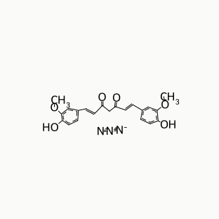 COc1cc(/C=C/C(=O)CC(=O)/C=C/c2ccc(O)c(OC)c2)ccc1O.[N-]=[N+]=[N-]